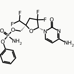 Nc1ccn([C@@H]2O[C@@](COP(N)(=O)Oc3ccccc3)(C(F)F)CC2(F)F)c(=O)n1